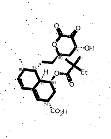 CCC(C)(C)C(=O)O[C@H]1C[C@H](C(=O)O)C=C2C=C[C@H](C)[C@H](CC[C@@H]3C[C@@H](O)C(=O)C(=O)O3)[C@H]21